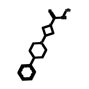 CCCNC(=O)N1CC(N2CCC(c3ccccc3)CC2)C1